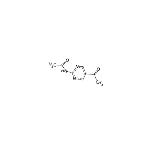 CC(=O)Nc1ncc(C(C)=O)cn1